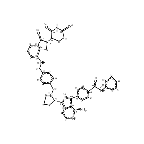 Nc1nccn2c([C@@H]3CCCN3Cc3ccc(CNc4cccc5c4CN(C4CCC(=O)NC4=O)C5=O)cc3)nc(-c3ccc(C(=O)Nc4ccccn4)cc3)c12